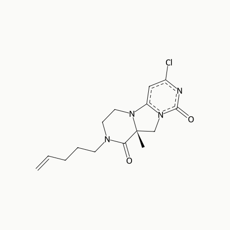 C=CCCCN1CCN2c3cc(Cl)nc(=O)n3C[C@]2(C)C1=O